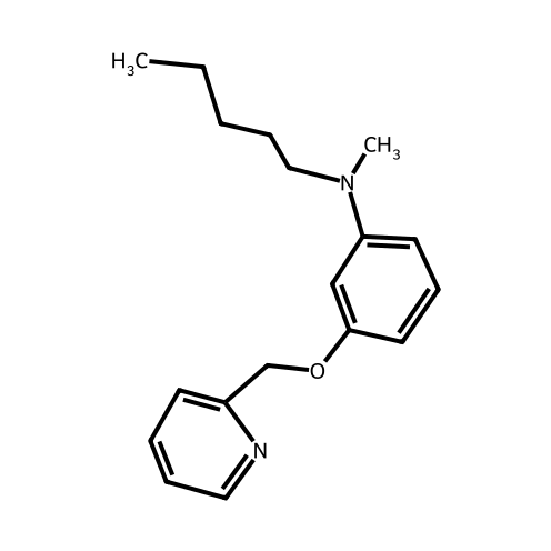 CCCCCN(C)c1cccc(OCc2ccccn2)c1